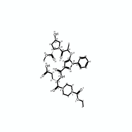 CCOC(=O)N1CCN(C(=O)[C@H](CCC(=O)O)NC(=O)c2cc(OC(C)C(=O)N3C[C@H](O)C[C@H]3C(=O)OC)n(-c3ccccc3)n2)CC1